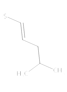 CC(C)C/C=C/[S]